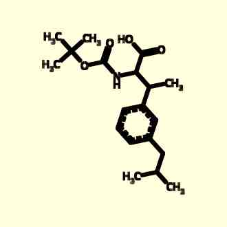 CC(C)Cc1cccc(C(C)C(NC(=O)OC(C)(C)C)C(=O)O)c1